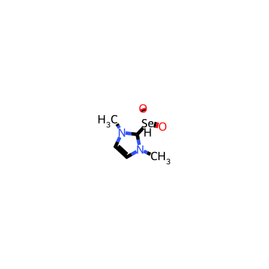 CN1C=CN(C)C1[SeH](=O)=O